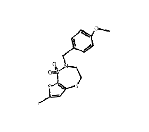 COc1ccc(CN2CCSc3cc(I)sc3S2(=O)=O)cc1